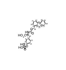 O=C(N[C@@H](Cc1ccc(OP(=O)(O)O)cc1)C(=O)O)OCc1cccc2c1Cc1ccccc1-2